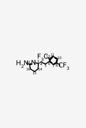 NC1=N[C@@H](CCc2cc(C(F)(F)F)ccc2C(F)(F)F)CCC1